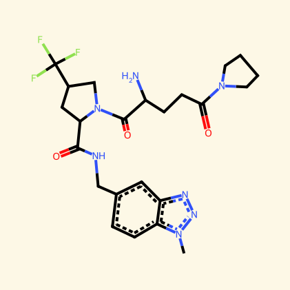 Cn1nnc2cc(CNC(=O)C3CC(C(F)(F)F)CN3C(=O)C(N)CCC(=O)N3CCCC3)ccc21